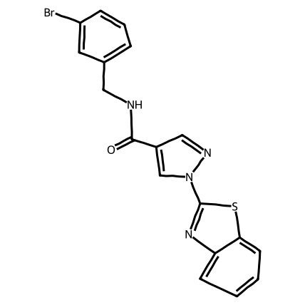 O=C(NCc1cccc(Br)c1)c1cnn(-c2nc3ccccc3s2)c1